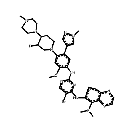 COc1cc(N2CCC(N3CCN(C)CC3)C(F)C2)c(-c2cnn(C)c2)cc1Nc1ncc(Br)c(Nc2ccc3nccnc3c2P(C)C)n1